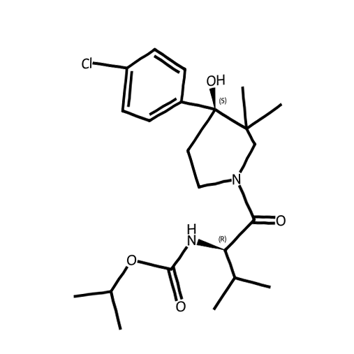 CC(C)OC(=O)N[C@@H](C(=O)N1CC[C@](O)(c2ccc(Cl)cc2)C(C)(C)C1)C(C)C